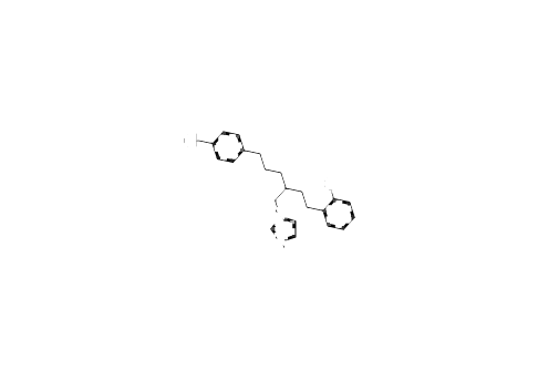 Clc1ccc(CCCC(CCc2ccccc2Cl)Cn2ccnc2)cc1